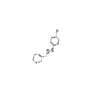 Fc1ccc(SSCc2ccccc2)cc1